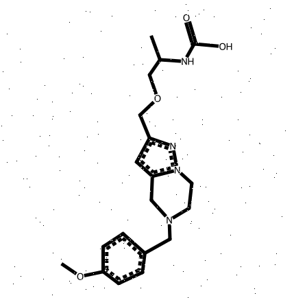 COc1ccc(CN2CCn3nc(COCC(C)NC(=O)O)cc3C2)cc1